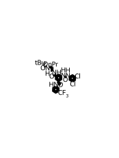 CCCC(CCNC(=O)c1cc(NC(=O)Nc2cc(Cl)cc(Cl)c2)cc(C(=O)Nc2cccc(C(F)(F)F)c2)c1)NC(=O)OC(C)(C)C